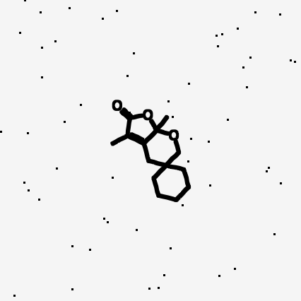 CC1=C2CC3(CCCCC3)COC2(C)OC1=O